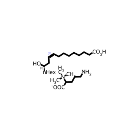 CCCCCC[C@@H](O)C/C=C\CCCCCCCC(=O)O.C[N+](C)(C)C(CCCN)C(=O)[O-]